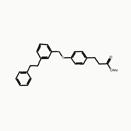 COC(=O)CCc1ccc(OCc2cccc(CCc3ccccc3)c2)cc1